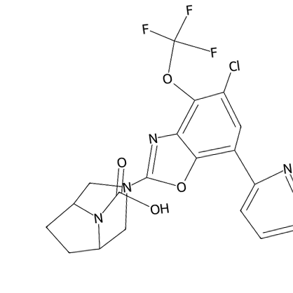 O=C(O)N1C2CCC1CN(c1nc3c(OC(F)(F)F)c(Cl)cc(-c4ccccn4)c3o1)C2